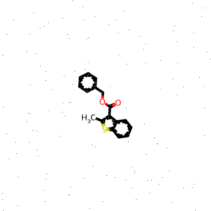 Cc1sc2ccccc2c1C(=O)OCc1ccccc1